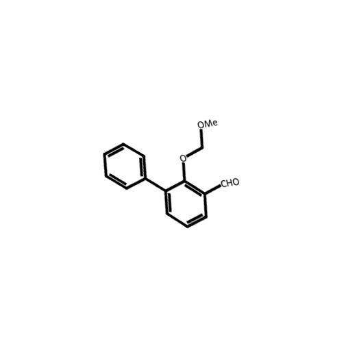 COCOc1c(C=O)cccc1-c1ccccc1